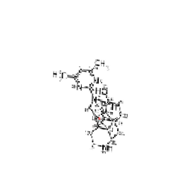 Cc1cc(C)nc(N2C[C@H]3CC45CCC2C3C42CCNC5Cc3ccc(O)cc32)n1